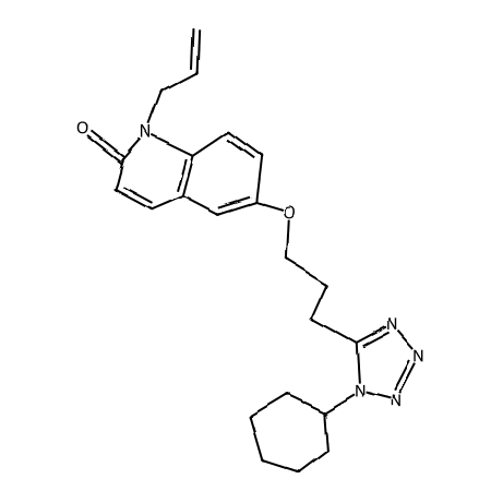 C=CCn1c(=O)ccc2cc(OCCCc3nnnn3C3CCCCC3)ccc21